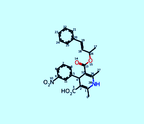 CC1=C(C(=O)O)C(c2cccc([N+](=O)[O-])c2)C(C(=O)OC(C)/C=C/c2ccccc2)=C(C)N1